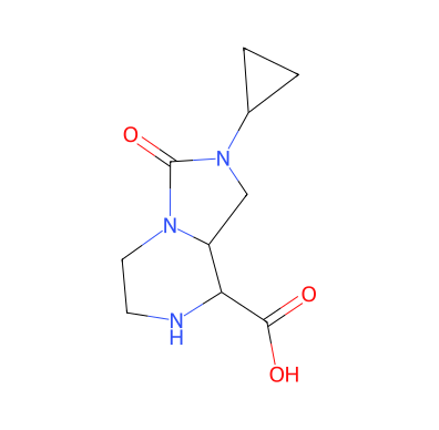 O=C(O)C1NCCN2C(=O)N(C3CC3)CC12